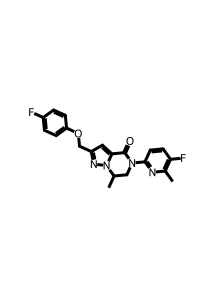 Cc1nc(N2CC(C)n3nc(COc4ccc(F)cc4)cc3C2=O)ccc1F